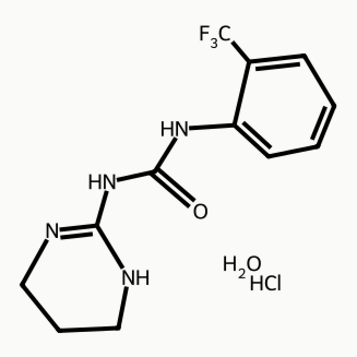 Cl.O.O=C(NC1=NCCCN1)Nc1ccccc1C(F)(F)F